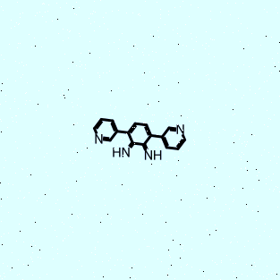 N=C1C(=N)C(c2cccnc2)=CC=C1c1cccnc1